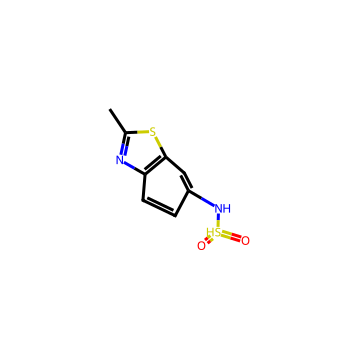 Cc1nc2ccc(N[SH](=O)=O)cc2s1